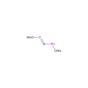 COP=NPOC